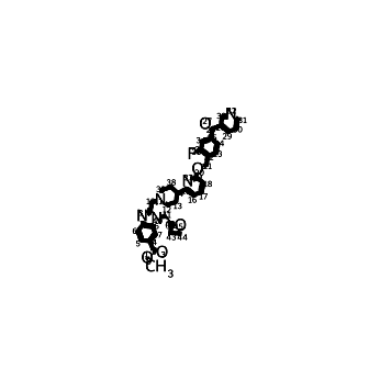 COC(=O)c1ccc2nc(CN3CCC(c4cccc(OCc5ccc(C(=O)c6cccnc6)cc5F)n4)CC3)n(C[C@@H]3CCO3)c2c1